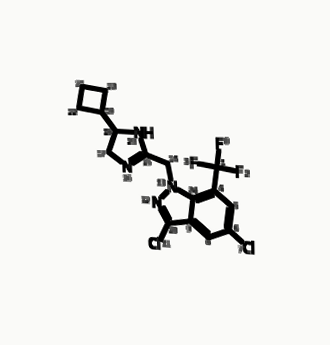 FC(F)(F)c1cc(Cl)cc2c(Cl)nn(CC3=NCC(C4CCC4)N3)c12